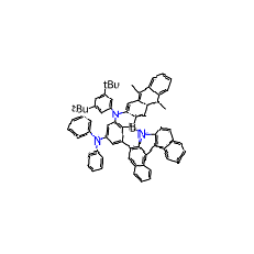 Cc1c2ccccc2c(C)c2cc3c(cc12)B1c2c(cc(N(c4ccccc4)c4ccccc4)cc2N3c2cc(C(C)(C)C)cc(C(C)(C)C)c2)-c2cc3ccccc3c3c4c5ccccc5ccc4n1c23